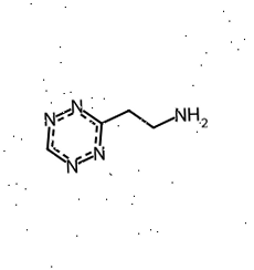 NCCc1nncnn1